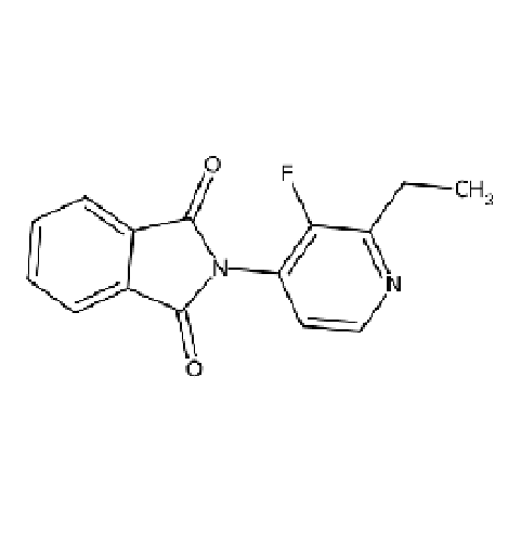 CCc1nccc(N2C(=O)c3ccccc3C2=O)c1F